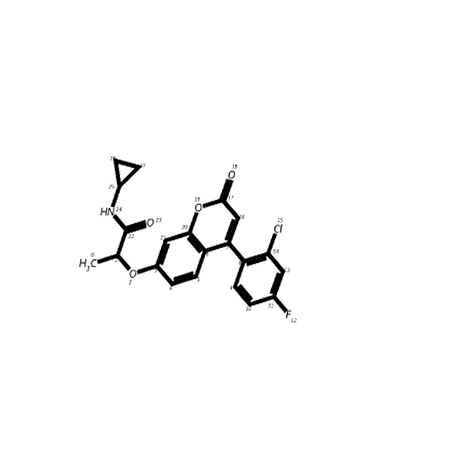 CC(Oc1ccc2c(-c3ccc(F)cc3Cl)cc(=O)oc2c1)C(=O)NC1CC1